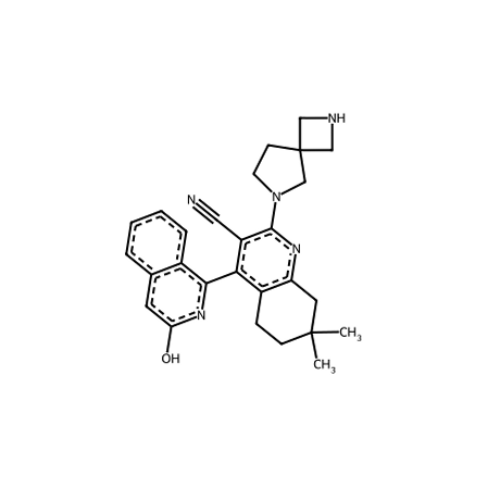 CC1(C)CCc2c(nc(N3CCC4(CNC4)C3)c(C#N)c2-c2nc(O)cc3ccccc23)C1